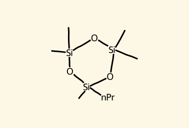 [CH2]CC[Si]1(C)O[Si](C)(C)O[Si](C)(C)O1